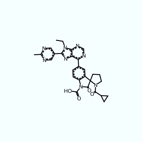 CCn1c(-c2cnc(C)nc2)nc2c(-c3ccc4c(c3)C3(CCCN3C(=O)C3CC3)C(=O)N4C(=O)O)ncnc21